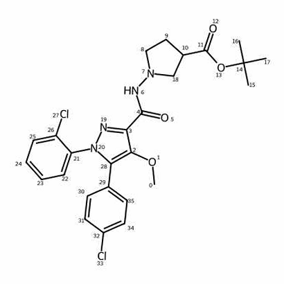 COc1c(C(=O)NN2CCC(C(=O)OC(C)(C)C)C2)nn(-c2ccccc2Cl)c1-c1ccc(Cl)cc1